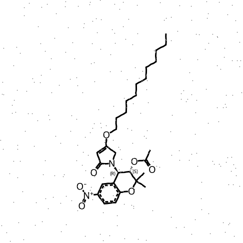 CCCCCCCCCCCCOC1=CC(=O)N([C@@H]2c3cc([N+](=O)[O-])ccc3OC(C)(C)[C@H]2OC(C)=O)C1